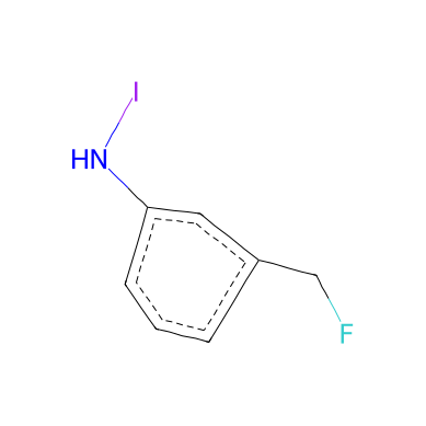 FCc1cccc(NI)c1